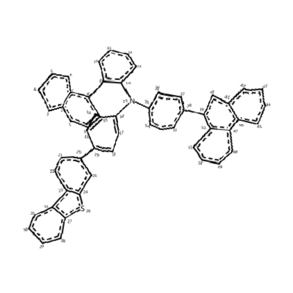 c1cc2ccccc2c(-c2ccccc2N(C2=CC=C(c3ccc4c(c3)sc3ccccc34)CC2)c2ccc(-c3cc4ccccc4c4ccccc34)cc2)c#1